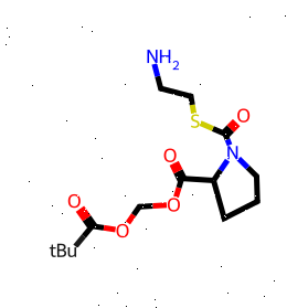 CC(C)(C)C(=O)OCOC(=O)C1CCCN1C(=O)SCCN